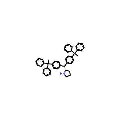 CC(c1ccccc1)(c1ccccc1)c1ccc(C(c2ccc(C(C)(c3ccccc3)c3ccccc3)cc2)[C@@H]2CCCN2)cc1